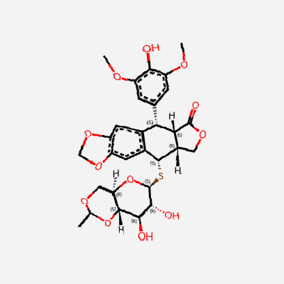 COc1cc([C@H]2c3cc4c(cc3[C@@H](S[C@@H]3O[C@@H]5COC(C)O[C@H]5[C@H](O)[C@H]3O)[C@H]3COC(=O)[C@@H]23)OCO4)cc(OC)c1O